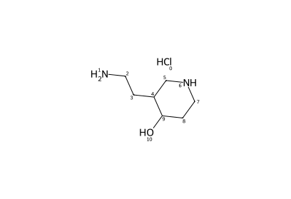 Cl.NCCC1CNCCC1O